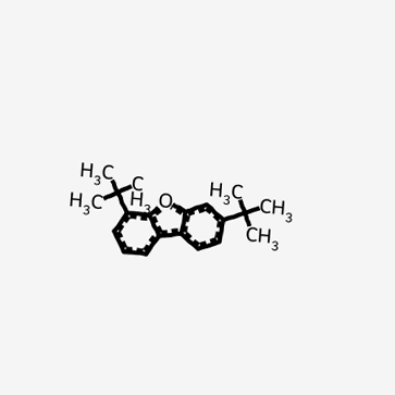 CC(C)(C)c1ccc2c(c1)oc1c(C(C)(C)C)cccc12